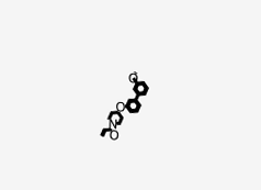 C=CC(=O)N1CCC(Oc2cccc(-c3cccc(OC)c3)c2)CC1